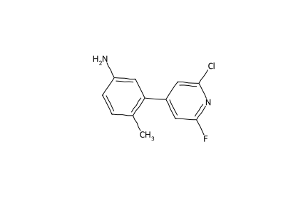 Cc1ccc(N)cc1-c1cc(F)nc(Cl)c1